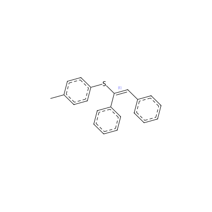 Cc1ccc(S/C(=C/c2ccccc2)c2ccccc2)cc1